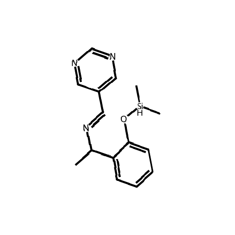 CC(N=Cc1cncnc1)c1ccccc1O[SiH](C)C